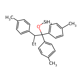 CCC(c1ccc(C)cc1)C(O[SiH3])(c1ccc(C)cc1)c1ccc(C)cc1